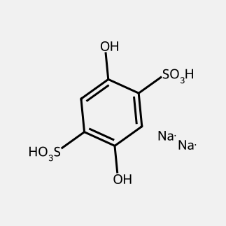 O=S(=O)(O)c1cc(O)c(S(=O)(=O)O)cc1O.[Na].[Na]